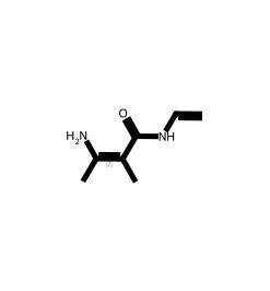 C=CNC(=O)/C(C)=C(/C)N